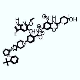 CCOc1nc2[nH]cc(F)c2cc1Oc1cc(N2CCC3(CC2)CN([C@H]2CCC[C@H]2c2ccccc2C(C)(C)C)C3)ccc1C(=O)NS(=O)(=O)c1cc(N=O)c2c(c1)OC[C@H]([C@H]1CC[C@](C)(O)CC1)N2